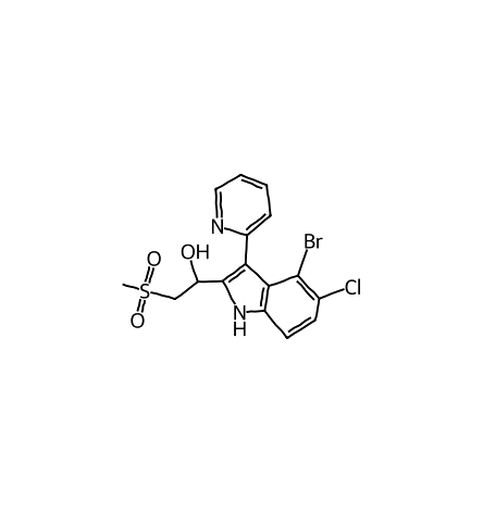 CS(=O)(=O)CC(O)c1[nH]c2ccc(Cl)c(Br)c2c1-c1ccccn1